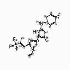 C=Cn1cc(-c2[nH]c(N(C)C3C=CC(C)=CC3)cc2C)nc1/C=C(\C)C(F)(F)F